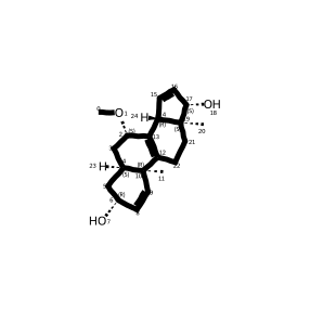 CO[C@H]1C[C@@H]2C[C@@H](O)C=C[C@]2(C)C2=C1[C@@H]1C=C[C@H](O)[C@@]1(C)CC2